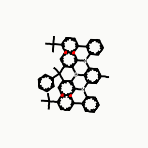 Cc1cc2c3c(c1)N(c1ccccc1-c1ccc(C(C)(C)C)cc1)c1cccc4c1B3c1c(cccc1C4(C)c1ccccc1)N2c1ccccc1-c1ccc(C(C)(C)C)cc1